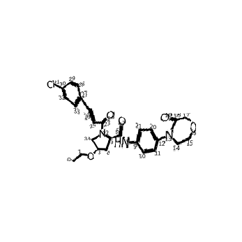 CCO[C@@H]1C[C@H](C(=O)Nc2ccc(N3CCOCC3=O)cc2)N(C(=O)C=Cc2ccc(Cl)cc2)C1